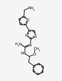 COC(Cc1ccccc1)NC(N)=Nc1nc(-c2ccc(CN)o2)cs1